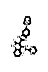 C[C@H](Nc1c(-c2nc3ccc(N4CC5CCC(C4)O5)cc3[nH]2)c(=O)[nH]c2ccccc12)c1ncccn1